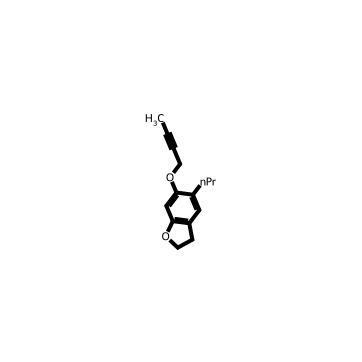 CC#CCOc1cc2c(cc1CCC)CCO2